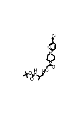 CC(C=NOCC(=O)N1CCN(c2ccc(C#N)cn2)CC1)NC(=O)OC(C)(C)C